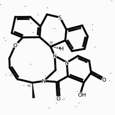 C[C@H]1/C=C\COc2cccc3c2[C@@H](c2ccccc2SC3)N2CN1C(=O)c1c(O)c(=O)ccn12